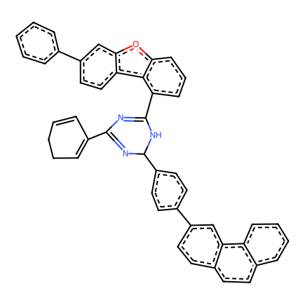 C1=CC(C2=NC(c3ccc(-c4ccc5ccc6ccccc6c5c4)cc3)NC(c3cccc4oc5cc(-c6ccccc6)ccc5c34)=N2)=CCC1